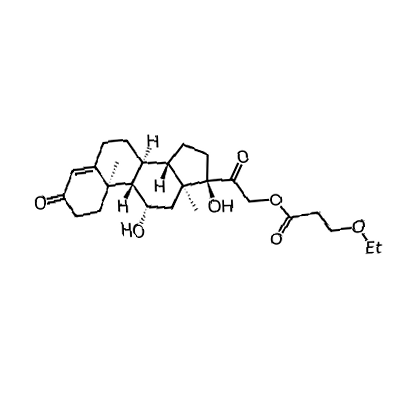 CCOCCC(=O)OCC(=O)[C@@]1(O)CC[C@H]2[C@@H]3CCC4=CC(=O)CC[C@]4(C)[C@H]3[C@@H](O)C[C@@]21C